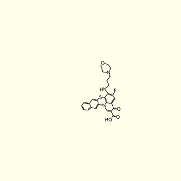 O=C(O)c1cn2c3c(c(NCCCN4CCOCC4)c(F)cc3c1=O)Sc1cc3ccccc3cc1-2